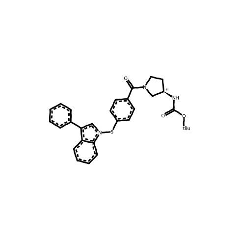 CC(C)(C)OC(=O)N[C@@H]1CCN(C(=O)c2ccc(Sn3cc(-c4ccccc4)c4ccccc43)cc2)C1